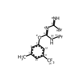 Cc1cc(O/C(=N/C(=N)Br)NC(C)C)cc(C(F)(F)F)c1